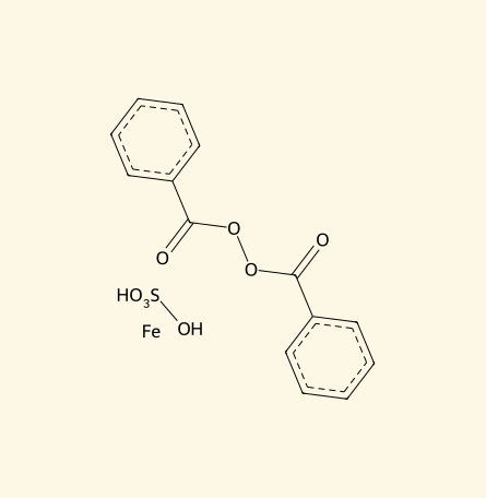 O=C(OOC(=O)c1ccccc1)c1ccccc1.O=S(=O)(O)O.[Fe]